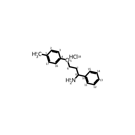 Cc1ccc(OCCC(N)c2ccccc2)cc1.Cl